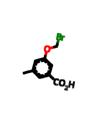 Cc1cc(OCBr)cc(C(=O)O)c1